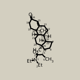 CCN(CC)C(=O)C(C)[C@H]1CC[C@H]2[C@@H]3CCC4=CC(=O)CC[C@]4(C)[C@H]3CC[C@]12C